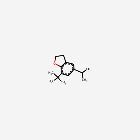 CC(C)c1cc2c(c(C(C)(C)C)c1)OCC2